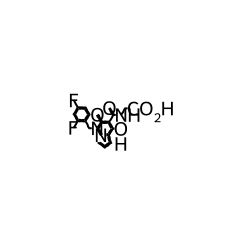 O=C(O)CNC(=O)c1c(O)c2cccn2n(Cc2ccc(F)cc2F)c1=O